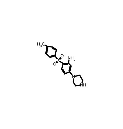 Cc1ccc(S(=O)(=O)c2ccc(N3CCNCC3)cc2N)cc1